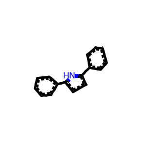 [c]1ccc(-c2ccc(-c3ccccc3)[nH]2)cc1